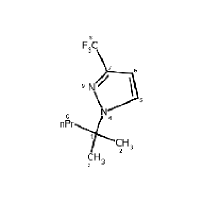 CCCC(C)(C)n1ccc(C(F)(F)F)n1